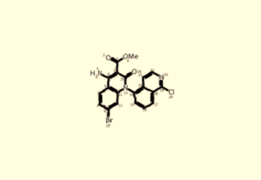 COC(=O)c1c(N)c2ccc(Br)cc2n(-c2cccc3c(Cl)nccc23)c1=O